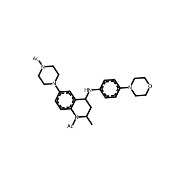 CC(=O)N1CCN(c2ccc3c(c2)C(Nc2ccc(N4CCOCC4)cc2)CC(C)N3C(C)=O)CC1